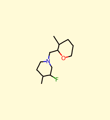 CC1CCN(CC2OCCCC2C)CC1F